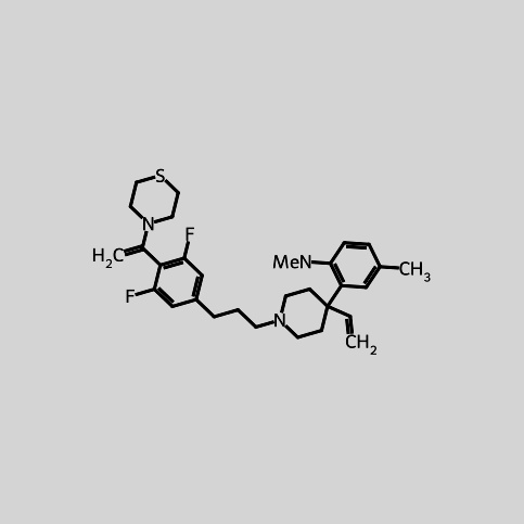 C=CC1(c2cc(C)ccc2NC)CCN(CCCc2cc(F)c(C(=C)N3CCSCC3)c(F)c2)CC1